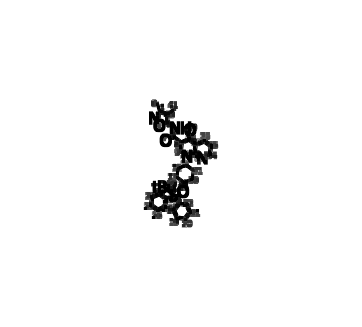 Cc1noc(NC(=O)c2cn([C@H]3CC[C@H](O[Si](c4ccccc4)(c4ccccc4)C(C)(C)C)CC3)c3ncccc3c2=O)c1C